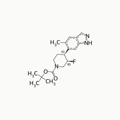 Cc1cc2cn[nH]c2cc1[C@@H]1CCN(C(=O)OC(C)(C)C)C[C@@H]1F